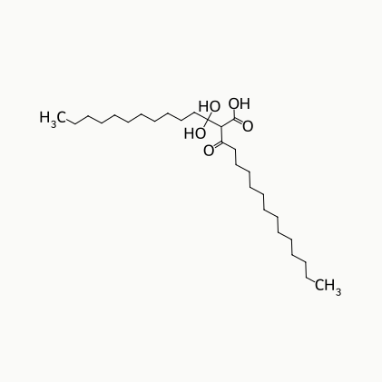 CCCCCCCCCCCCCC(=O)C(C(=O)O)C(O)(O)CCCCCCCCCCC